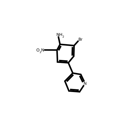 Nc1c(Br)cc(-c2cccnc2)cc1[N+](=O)[O-]